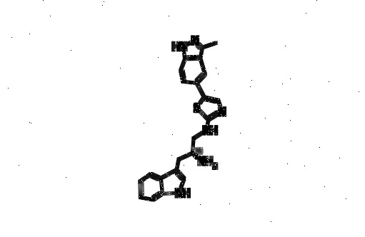 Cc1n[nH]c2ccc(-c3cnc(NC[C@@H](N)Cc4c[nH]c5ccccc45)s3)cc12